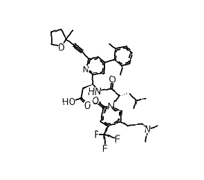 Cc1cccc(C)c1-c1cc(C#CC2(C)CCCO2)nc([C@H](CC(=O)O)NC(=O)[C@H](CC(C)C)n2cc(CCN(C)C)c(C(F)(F)F)cc2=O)c1